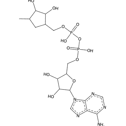 CC1CC(COP(=O)(O)OP(=O)(O)OCC2OC(n3cnc4c(N)ncnc43)C(O)C2O)C(O)C1O